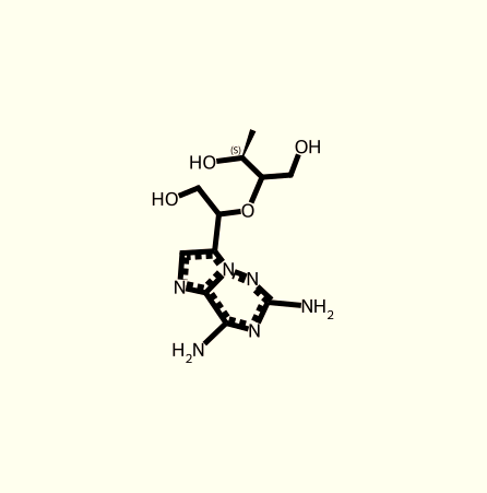 C[C@H](O)C(CO)OC(CO)c1cnc2c(N)nc(N)nn12